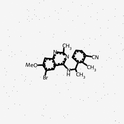 COc1cc2nc(C)nc(NC(C)c3cccc(C#N)c3C)c2cc1Br